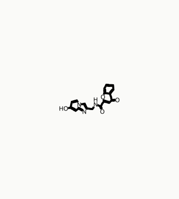 O=C(NCc1cn2ccc(O)cc2n1)c1cc(=O)c2ccccc2o1